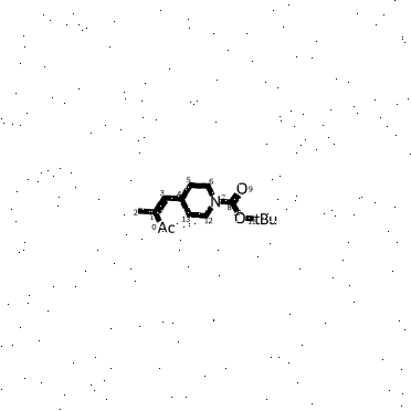 CC(=O)/C(C)=C\C1CCN(C(=O)OC(C)(C)C)CC1